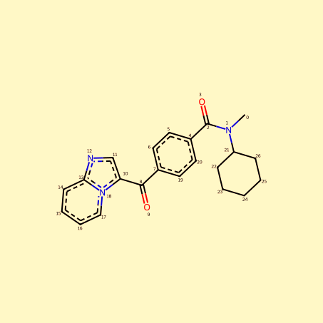 CN(C(=O)c1ccc(C(=O)c2cnc3ccccn23)cc1)C1CCCCC1